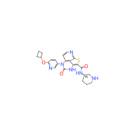 O=C(N[C@@H]1CCCNC1)c1sc2nccc3c2c1NC(=O)N3c1ccc(OC2CCC2)nc1